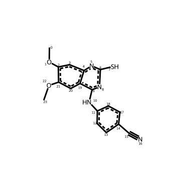 COc1cc2nc(S)nc(Nc3ccc(C#N)cc3)c2cc1OC